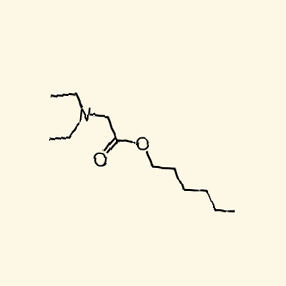 CCCCCCOC(=O)CN(CC)CC